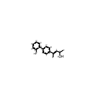 CC(=CC(C)O)c1ccc(-c2ccccc2F)cc1